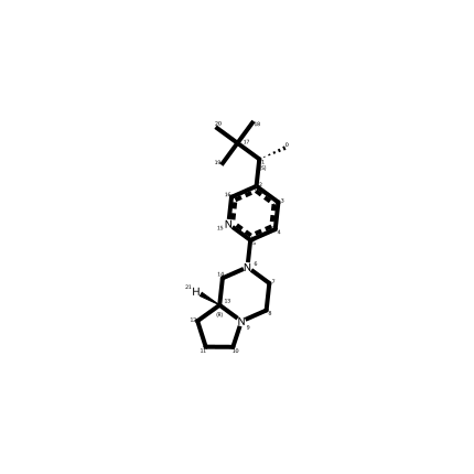 C[C@H](c1ccc(N2CCN3CCC[C@@H]3C2)nc1)C(C)(C)C